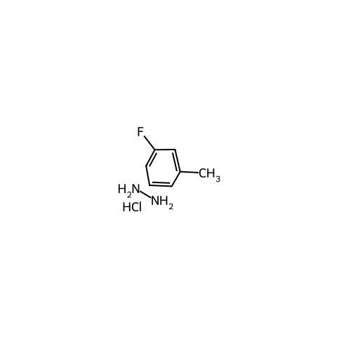 Cc1cccc(F)c1.Cl.NN